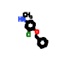 CNc1ccc(OCc2ccccc2)c(Cl)c1